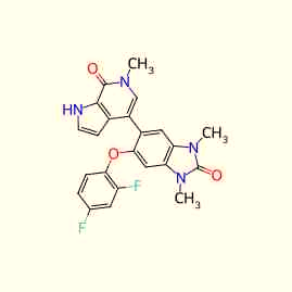 Cn1cc(-c2cc3c(cc2Oc2ccc(F)cc2F)n(C)c(=O)n3C)c2cc[nH]c2c1=O